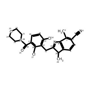 Cc1c(C#N)ccc2c1N=C(Cc1c(Cl)ccc(C(=O)N3CCOCC3)c1Cl)C2C